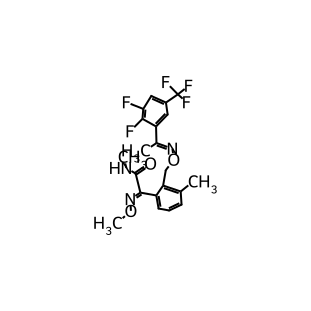 CNC(=O)/C(=N/OC)c1cccc(C)c1CO/N=C(\C)c1cc(C(F)(F)F)cc(F)c1F